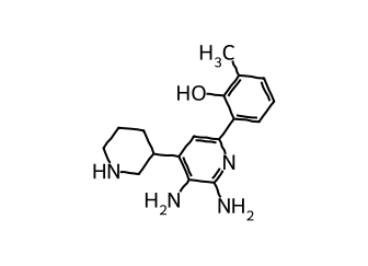 Cc1cccc(-c2cc(C3CCCNC3)c(N)c(N)n2)c1O